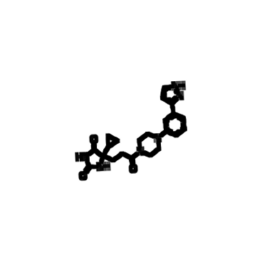 O=C1NC(=O)C(CCC(=O)N2CCN(c3cccc(-c4cc[nH]n4)c3)CC2)(C2CC2)N1